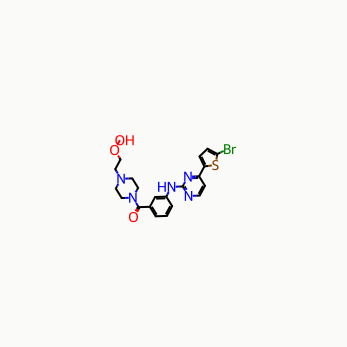 O=C(c1cccc(Nc2nccc(-c3ccc(Br)s3)n2)c1)N1CCN(CCOO)CC1